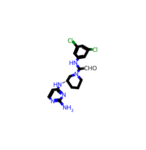 Nc1nccc(N[C@H]2CCCN(C(C=O)Nc3cc(Cl)cc(Cl)c3)C2)n1